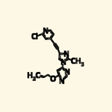 C=CCOc1cc(-n2cc(C#Cc3ccnc(Cl)c3)nc2C)ncn1